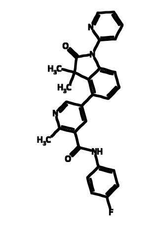 Cc1ncc(-c2cccc3c2C(C)(C)C(=O)N3c2ccccn2)cc1C(=O)Nc1ccc(F)cc1